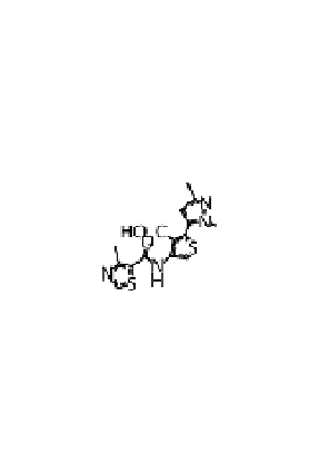 Cc1cc(-c2scc(NC(=O)c3scnc3C)c2C(=O)O)n(C)n1